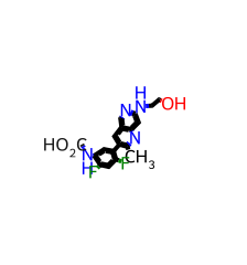 Cc1nc2cc(NCCO)ncc2cc1-c1cc(NC(=O)O)c(F)cc1F